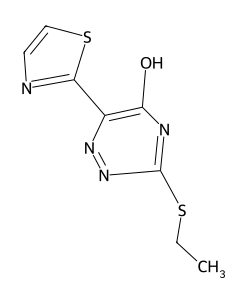 CCSc1nnc(-c2nccs2)c(O)n1